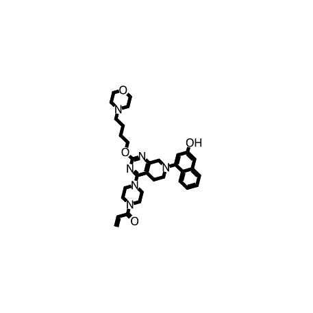 C=CC(=O)N1CCN(c2nc(OCCCCN3CCOCC3)nc3c2CCN(c2cc(O)cc4ccccc24)C3)CC1